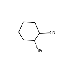 CC(C)[C@@H]1CCCCC1C#N